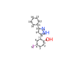 Oc1ccc(I)cc1-c1cc(-c2ccccc2)n[nH]1